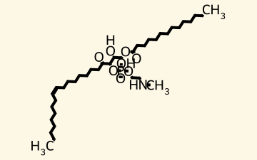 CCCCCCCC/C=C\CCCCCCCC(=O)C(OP(=O)(O)OCCNC)[C@@H](O)COC(=O)CCCCCCCCCCCCC